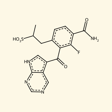 CC(Cc1ccc(C(N)=O)c(F)c1C(=O)c1c[nH]c2ncncc12)S(=O)(=O)O